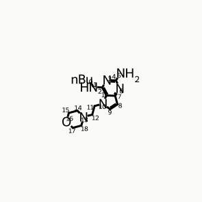 CCCCNc1nc(N)nc2ccn(CCN3CCOCC3)c12